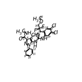 CNC(=O)c1nn(-c2ccccc2)c(NC(=O)Nc2cc(Cl)c(Cl)cc2CC(F)(F)COC)c1C